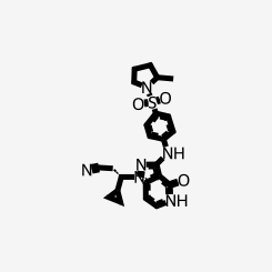 CC1CCCN1S(=O)(=O)c1ccc(Nc2nn([C@@H](CC#N)C3CC3)c3cc[nH]c(=O)c23)cc1